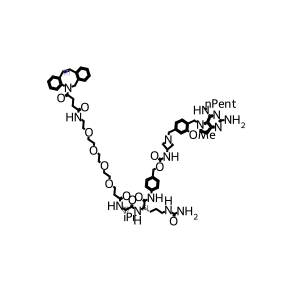 CCCCCNc1nc(N)nc2ccn(Cc3ccc(CN4CC(NC(=O)OCc5ccc(NC(=O)[C@H](CCCNC(N)=O)NC(=O)[C@@H](NC(=O)CCOCCOCCOCCOCCNC(=O)CCC(=O)N6Cc7ccccc7/C=C\c7ccccc76)C(C)C)cc5)C4)cc3OC)c12